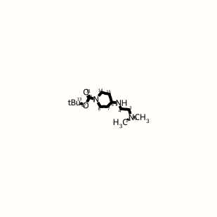 CN(C)CCNC1CCN(C(=O)OC(C)(C)C)CC1